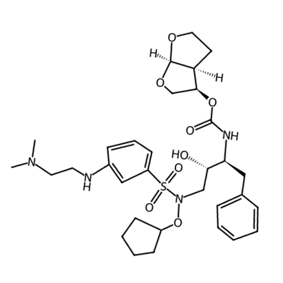 CN(C)CCNc1cccc(S(=O)(=O)N(C[C@H](O)[C@H](Cc2ccccc2)NC(=O)O[C@H]2CO[C@H]3OCC[C@H]32)OC2CCCC2)c1